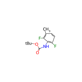 Cc1ccc(F)c(NC(=O)OC(C)(C)C)c1F